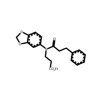 CCOC(=O)CCN(C(=O)CCc1ccccc1)c1ccc2c(c1)OCO2